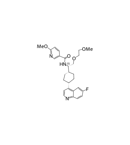 COCCOC[C@@H](NC(=O)c1ccc(OC)nc1)[C@H]1CC[C@@H](c2ccnc3ccc(F)cc32)CC1